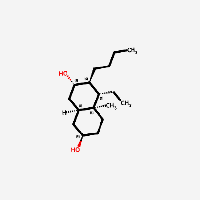 CCCC[C@@H]1[C@@H](O)C[C@@H]2C[C@H](O)CC[C@]2(C)[C@H]1CC